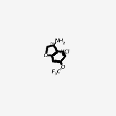 Cl.N[C@@H]1COc2cc(OC(F)(F)F)ccc21